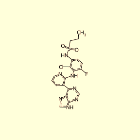 CCCS(=O)(=O)Nc1ccc(F)c(Nc2ncccc2-c2ncnc3[nH]cnc23)c1Cl